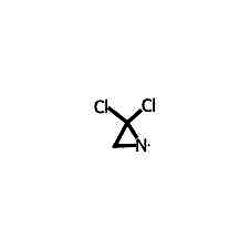 ClC1(Cl)C[N]1